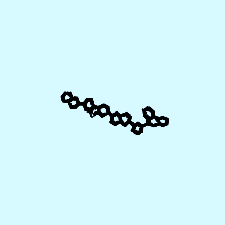 c1cc(-c2ccc3cc(-c4ccc5c(c4)oc4cc(-c6ccc7ccccc7c6)ccc45)ccc3c2)cc(-c2cc3ccccc3c3ccccc23)c1